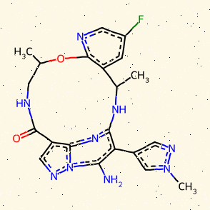 CC1CNC(=O)c2cnn3c(N)c(-c4cnn(C)c4)c(nc23)NC(C)c2cc(F)cnc2O1